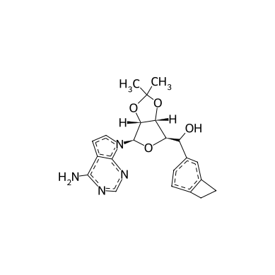 CC1(C)O[C@@H]2[C@H](O1)[C@@H](C(O)c1ccc3c(c1)CC3)O[C@H]2n1ccc2c(N)ncnc21